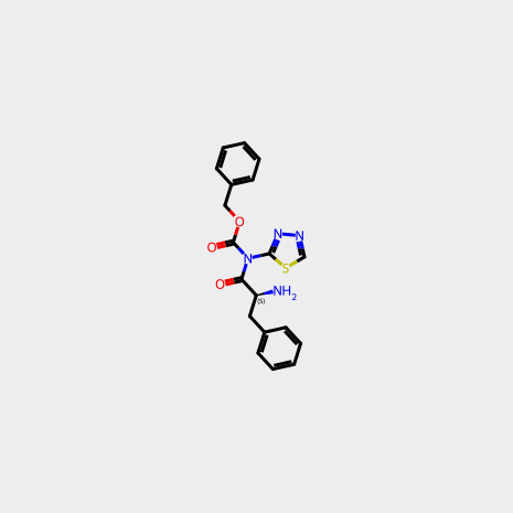 N[C@@H](Cc1ccccc1)C(=O)N(C(=O)OCc1ccccc1)c1nncs1